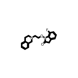 O=C1Cc2cccc(F)c2N1OCCN1CCc2ccccc2C1